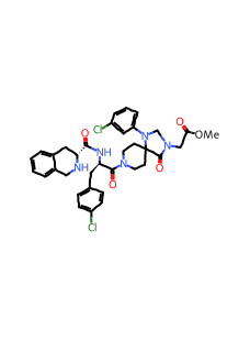 COC(=O)CN1CN(c2cccc(Cl)c2)C2(CCN(C(=O)[C@@H](Cc3ccc(Cl)cc3)NC(=O)[C@H]3Cc4ccccc4CN3)CC2)C1=O